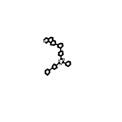 c1ccc(-c2ccc(-c3nc(-c4ccccc4)nc(-c4ccc(-c5cccc(-c6ccc7c(ccc8ccncc87)c6)c5)cc4)n3)cc2)cc1